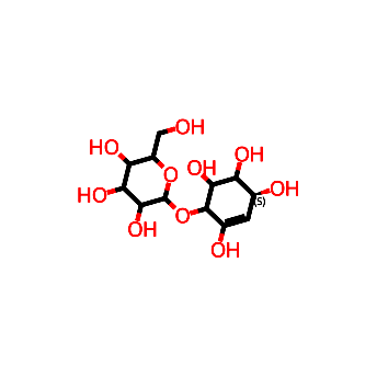 OCC1OC(OC2C(O)=C[C@H](O)C(O)C2O)C(O)C(O)C1O